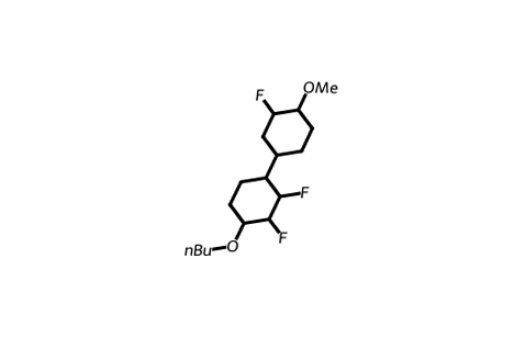 CCCCOC1CCC(C2CCC(OC)C(F)C2)C(F)C1F